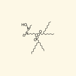 CCCCCCCCC(CCCCCC)CC(=O)OCC(CCCCN(CCN(CCC)CCO)C1CCC1)COC(=O)CC(CCCCCC)CCCCCCCC